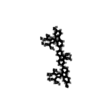 CC(C)CCC1(CCC(C)C)c2cc(Br)ccc2-c2ccc(-c3ccc4c(c3)C(C)(C)c3cc(-c5ccc6c(c5)C(CCC(C)C)(CCC(C)C)c5cc(Br)ccc5-6)ccc3-4)cc21